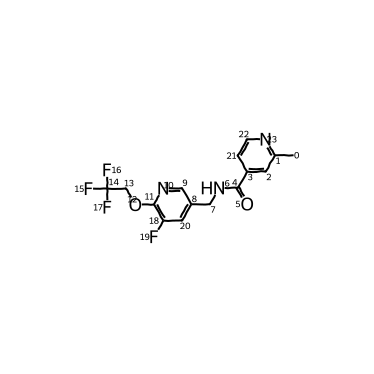 Cc1cc(C(=O)NCc2cnc(OCC(F)(F)F)c(F)c2)ccn1